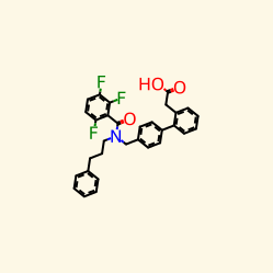 O=C(O)Cc1ccccc1-c1ccc(CN(CCCc2ccccc2)C(=O)c2c(F)ccc(F)c2F)cc1